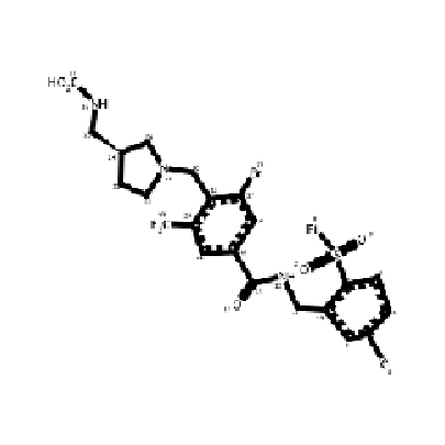 CCS(=O)(=O)c1ccc(Cl)cc1CNC(=O)c1cc(Br)c(CN2CC[C@@H](CNC(=O)O)C2)c(C(F)(F)F)c1